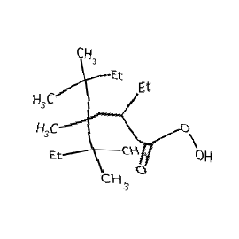 CCC(C(=O)OO)C(C)(C(C)(C)CC)C(C)(C)CC